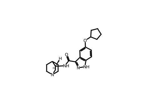 O=C(N[C@@H]1CN2CCC1CC2)c1n[nH]c2ccc(OC3CCCC3)cc12